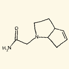 NC(=O)CN1CCC2C=CCC21